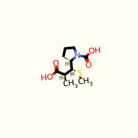 CS[C@H]([C@@H](C)C(=O)O)[C@@H]1CCCN1C(=O)O